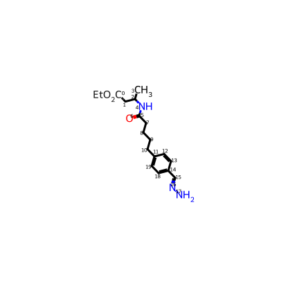 CCOC(=O)CC(C)NC(=O)CCCCc1ccc(C=NN)cc1